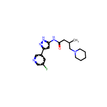 CC(CC(=O)Nc1cc(-c2cncc(F)c2)n[nH]1)CN1CCCCC1